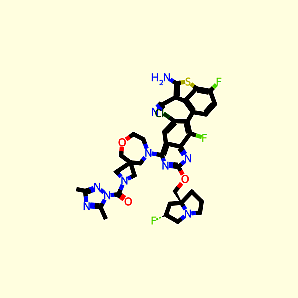 Cc1nc(C)n(C(=O)N2CC3(COCCN(c4nc(OC[C@@]56CCCN5C[C@H](F)C6)nc5c(F)c(-c6ccc(F)c7sc(N)c(C#N)c67)c(Cl)cc45)C3)C2)n1